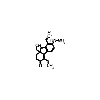 C=Cc1c(NN)ccc2c1CC1(CC)CCC(=O)C(CC)=C21